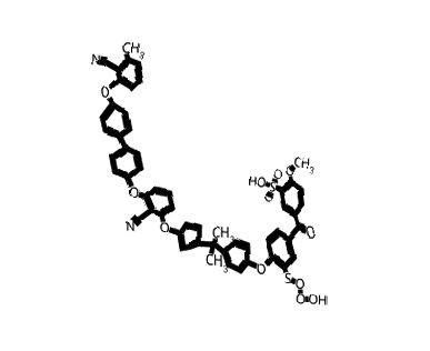 COc1ccc(C(=O)c2ccc(Oc3ccc(C(C)(C)c4ccc(Oc5cccc(Oc6ccc(-c7ccc(Oc8cccc(C)c8C#N)cc7)cc6)c5C#N)cc4)cc3)c(SOOO)c2)cc1S(=O)(=O)O